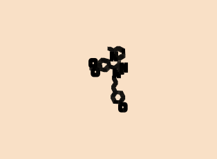 Cc1cccc(-c2ncn(CCCC3CCC(=O)CC3)c2-c2ccc3c(c2)OCO3)n1